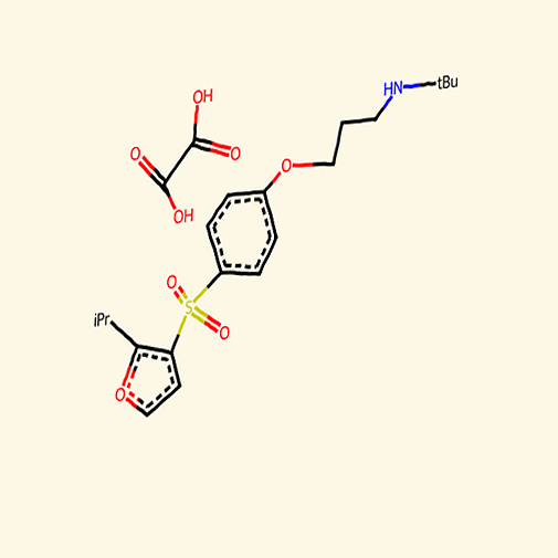 CC(C)c1occc1S(=O)(=O)c1ccc(OCCCNC(C)(C)C)cc1.O=C(O)C(=O)O